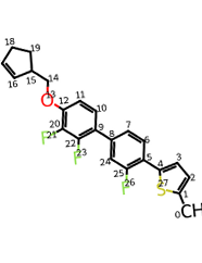 Cc1ccc(-c2ccc(-c3ccc(OCC4C=CCC4)c(F)c3F)cc2F)s1